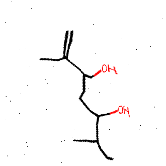 C=C(C)C(O)CC(O)C(C)C